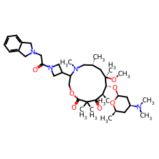 CO[C@]1(C)C[C@@H](C)CN(C)C(C2CN(C(=O)CN3Cc4ccccc4C3)C2)COC(=O)C(C)(C)C(=O)[C@H](C)[C@H]1O[C@H]1C[C@@H](N(C)C)C[C@@H](C)O1